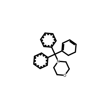 C1=CCCC(C(c2ccccc2)(c2ccccc2)N2CCOCC2)=C1